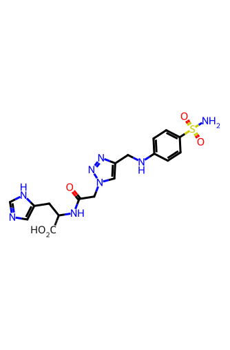 NS(=O)(=O)c1ccc(NCc2cn(CC(=O)NC(Cc3cnc[nH]3)C(=O)O)nn2)cc1